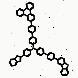 C1=C(c2ccc(N(c3ccc(-c4ccc(-c5ccc6sc7ccccc7c6c5)cc4)cc3)c3ccc(-c4ccc(-c5ccc6c7ccccc7c7ccccc7c6c5)cc4)cc3)cc2)Cc2ccccc21